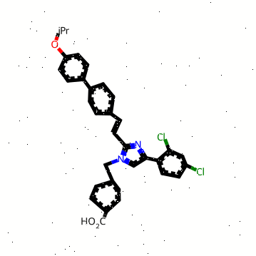 CC(C)Oc1ccc(-c2ccc(C=Cc3nc(-c4ccc(Cl)cc4Cl)cn3Cc3ccc(C(=O)O)cc3)cc2)cc1